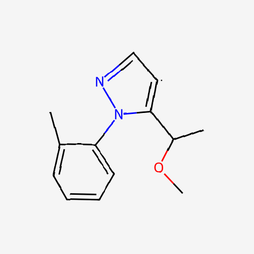 COC(C)c1[c]cnn1-c1ccccc1C